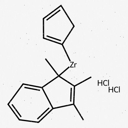 CC1=C(C)[C](C)([Zr][C]2=CC=CC2)c2ccccc21.Cl.Cl